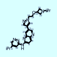 CC(C)c1cnnc(Nc2ccc3ncc(-c4cnn(CCOC5CN(C(C)C)C5)c4)cc3n2)c1